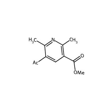 COC(=O)c1cc(C(C)=O)c(C)nc1C